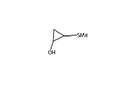 CSC1CC1O